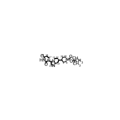 CC(C)(C)OC(=O)N1CCC(c2ccn3c(-n4ccc(=O)[nH]c4=O)cnc3c2)CC1